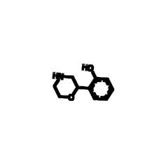 Oc1ccccc1C1CNCCO1